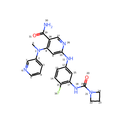 CN(c1cccnc1)c1cc(Nc2ccc(F)c(NC(=O)N3CCC3)c2)ncc1C(N)=O